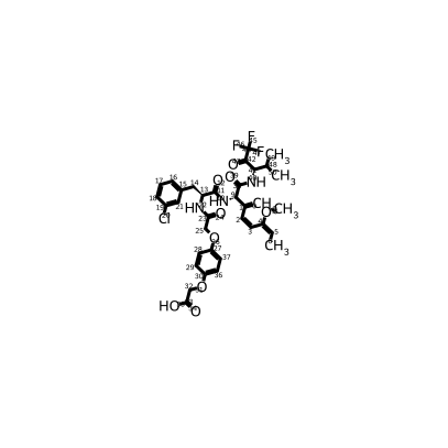 C=C(/C=C\C(=C/C)OC)[C@H](NC(=O)[C@H](Cc1cccc(Cl)c1)NC(=O)COc1ccc(OCC(=O)O)cc1)C(=O)N[C@H](C(=O)C(F)(F)F)C(C)C